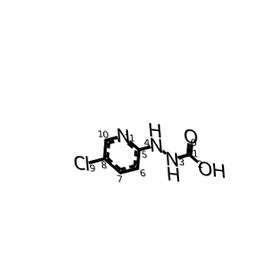 O=C(O)NNc1ccc(Cl)cn1